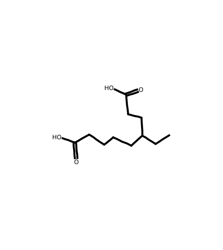 CCC(CCCCC(=O)O)CCC(=O)O